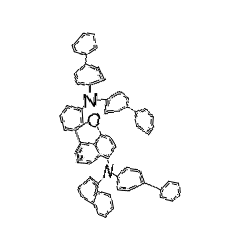 c1ccc(-c2ccc(N(c3ccc(-c4ccccc4)cc3)c3cccc4c3Oc3ccc(N(c5ccc(-c6ccccc6)cc5)c5cccc6ccccc56)c5cccc-4c35)cc2)cc1